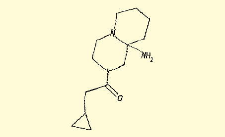 NC12CCCCN1CCI(C(=O)CC1CC1)C2